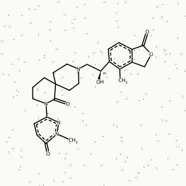 Cc1c([C@@H](O)CN2CCC3(CCCN(c4ccc(=O)n(C)n4)C3=O)CC2)ccc2c1COC2=O